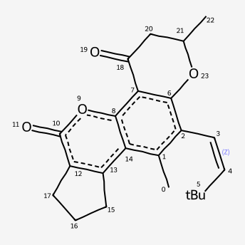 Cc1c(/C=C\C(C)(C)C)c2c(c3oc(=O)c4c(c13)CCC4)C(=O)CC(C)O2